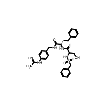 N=C(N)Nc1ccc(CNC(=O)[C@H](CCc2ccccc2)NC(=O)C(CO)NS(=O)(=O)Cc2ccccc2)cc1